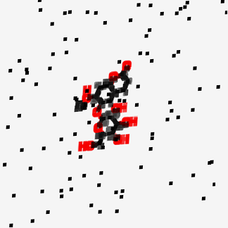 O=c1ccc2cc(O[C@@H]3O[C@H](CO)[C@@H](O)[C@H](O)[C@H]3O)c(O)cc2o1.[Fe]